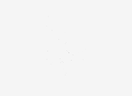 CC(C)(C)[C@H](NC(=O)OCc1ccccc1)C(=O)N1C(C(=O)O)CC2CCCC21